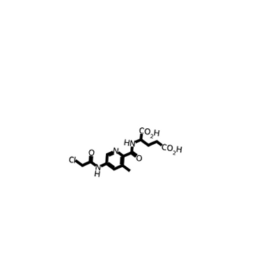 Cc1cc(NC(=O)CCl)cnc1C(=O)NC(CCC(=O)O)C(=O)O